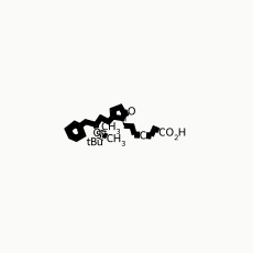 CC(C)(C)[Si](C)(C)OC(CCC1=CCC(=O)[C@@H]1CCC=C=CCC(=O)O)Cc1ccccc1